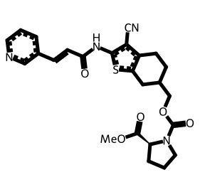 COC(=O)[C@@H]1CCCN1C(=O)OCC1CCc2c(sc(NC(=O)/C=C/c3cccnc3)c2C#N)C1